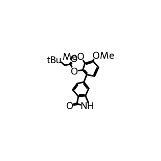 COc1ccc(-c2ccc3c(c2)CNC3=O)c(OC(=O)CC(C)(C)C)c1OC